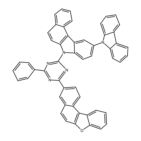 c1ccc(-c2nc(-c3ccc4c(ccc5oc6ccccc6c54)c3)nc(-n3c4ccc(-n5c6ccccc6c6ccccc65)cc4c4c5ccccc5ccc43)n2)cc1